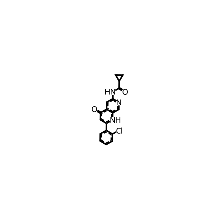 O=C(Nc1cc2c(=O)cc(-c3ccccc3Cl)[nH]c2cn1)C1CC1